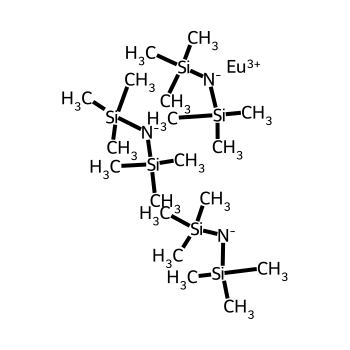 C[Si](C)(C)[N-][Si](C)(C)C.C[Si](C)(C)[N-][Si](C)(C)C.C[Si](C)(C)[N-][Si](C)(C)C.[Eu+3]